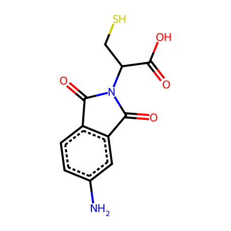 Nc1ccc2c(c1)C(=O)N(C(CS)C(=O)O)C2=O